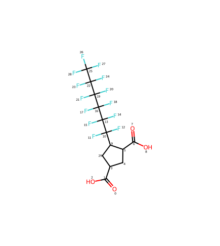 O=C(O)C1CC(C(=O)O)C(C(F)(F)C(F)(F)C(F)(F)C(F)(F)C(F)(F)C(F)(F)F)C1